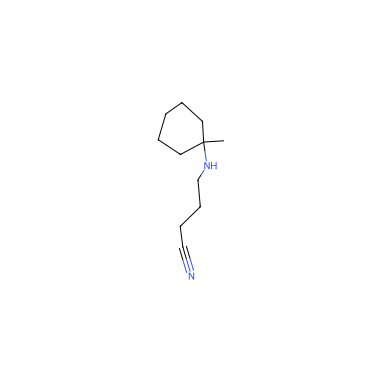 CC1(NCCCC#N)CCCCC1